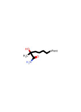 CCCCCCCCCC(C)(O)C(N)=O